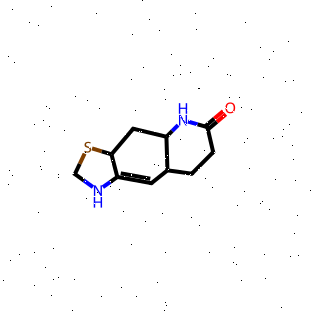 O=C1CCC2C=C3NCSC3CC2N1